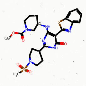 CC(C)(C)OC(=O)N1CCC[C@@H](Nc2nc(C3CCN(S(C)(=O)=O)CC3)[nH]c(=O)c2-c2nc3ccccc3s2)C1